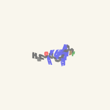 CCCC(=O)Nc1cncc(-c2ccc3[nH]nc(-c4nc5c(-c6ccc(F)s6)ccnc5[nH]4)c3n2)c1